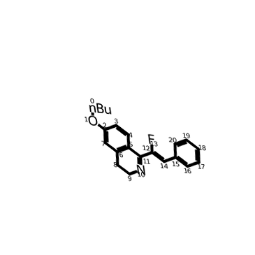 CCCCOc1ccc2c(c1)CCN=C2C(F)=Cc1ccccc1